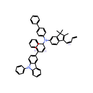 C=C/C=C\C1=C(C)C(C)(C)c2cc(N(c3ccc(-c4ccccc4)cc3)C(/C=C\C(=C/CC)c3ccc4c(c3)c3ccccc3n4-c3ccccc3)c3ccccc3)ccc21